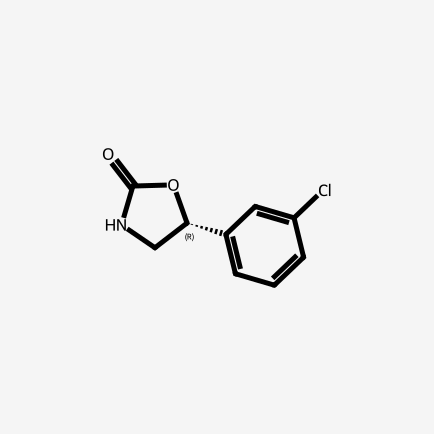 O=C1NC[C@@H](c2cccc(Cl)c2)O1